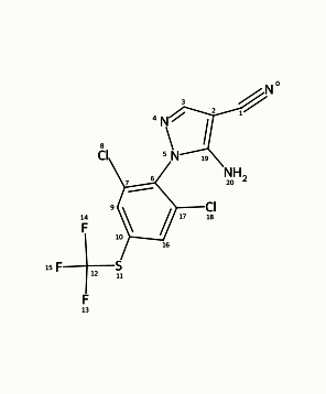 N#Cc1cnn(-c2c(Cl)cc(SC(F)(F)F)cc2Cl)c1N